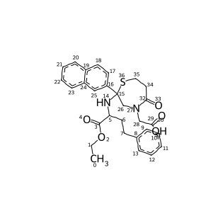 CCOC(=O)C(CCc1ccccc1)NC1(c2ccc3ccccc3c2)CN(CC(=O)O)C(=O)CCS1